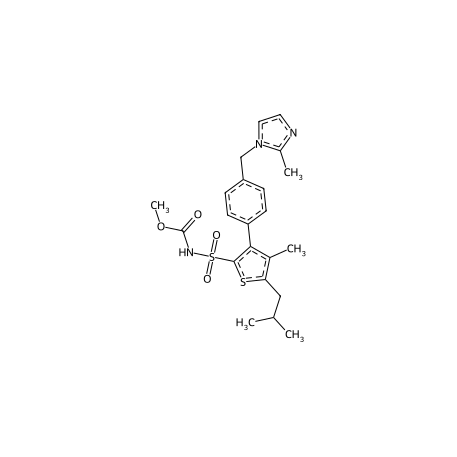 COC(=O)NS(=O)(=O)c1sc(CC(C)C)c(C)c1-c1ccc(Cn2ccnc2C)cc1